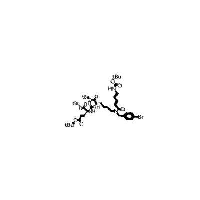 CC(C)(C)OC(=O)CC[C@H](NC(=O)N[C@@H](CCCCN(Cc1ccc(Br)cc1)C(=O)CCCCNC(=O)OC(C)(C)C)C(=O)OC(C)(C)C)C(=O)OC(C)(C)C